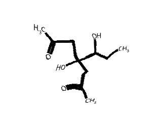 CCC(O)C(O)(CC(C)=O)CC(C)=O